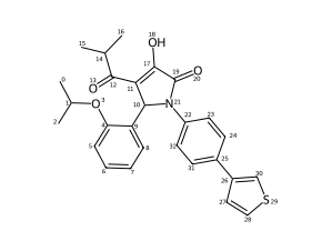 CC(C)Oc1ccccc1C1C(C(=O)C(C)C)=C(O)C(=O)N1c1ccc(-c2ccsc2)cc1